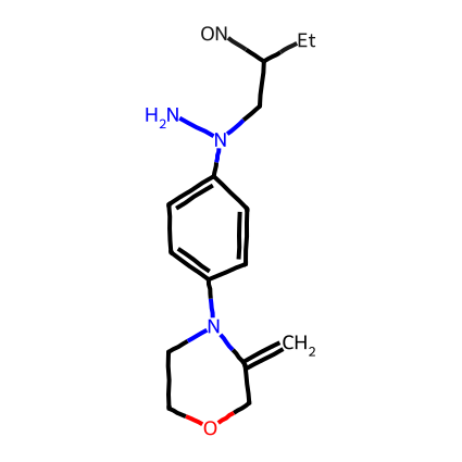 C=C1COCCN1c1ccc(N(N)CC(CC)N=O)cc1